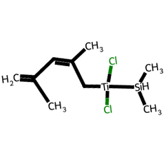 C=C(C)C=C(C)[CH2][Ti]([Cl])([Cl])[SiH](C)C